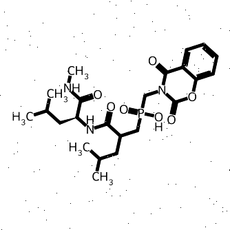 CNC(=O)[C@H](CC(C)C)NC(=O)C(CC(C)C)CP(=O)(O)Cn1c(=O)oc2ccccc2c1=O